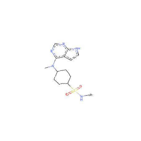 CCCNS(=O)(=O)C1CCC(N(C)c2ncnc3[nH]ccc23)CC1